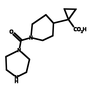 O=C(N1CCNCC1)N1CCC(C2(C(=O)O)CC2)CC1